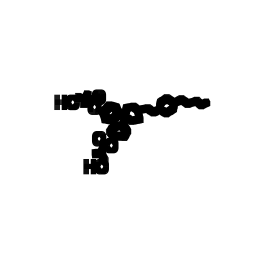 C=C(CO)C(=O)Oc1ccc(C2(c3ccc(OC(=O)C(C)(C)CO)cc3)CCC(CCC3CCC(CCCCC)CC3)CC2)cc1